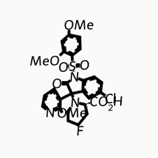 COc1ccc(S(=O)(=O)N2C(=O)C(c3cccnc3OC)(N3CC[C@H](F)C[C@H]3C(=O)O)c3cc(Cl)ccc32)c(OC)c1